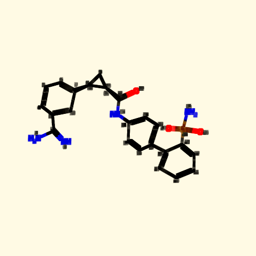 N=C(N)c1cccc([C@H]2C[C@H]2C(=O)Nc2ccc(-c3ccccc3S(N)(=O)=O)cc2)c1